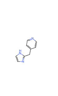 c1cc(Cc2ncc[nH]2)ccn1